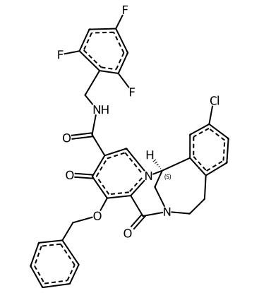 O=C(NCc1c(F)cc(F)cc1F)c1cn2c(c(OCc3ccccc3)c1=O)C(=O)N1CCc3ccc(Cl)cc3[C@H]2C1